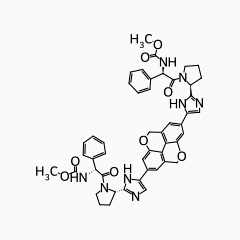 COC(=O)N[C@@H](C(=O)N1CCC[C@H]1c1ncc(-c2cc3c4c(c2)OCc2cc(-c5cnc([C@@H]6CCCN6C(=O)[C@H](NC(=O)OC)c6ccccc6)[nH]5)cc(c2-4)OC3)[nH]1)c1ccccc1